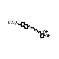 CCOC(=O)Cc1ccc2cc(OCCCCCCc3cccc(O)c3O)ccc2c1